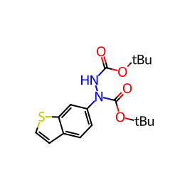 CC(C)(C)OC(=O)NN(C(=O)OC(C)(C)C)c1ccc2ccsc2c1